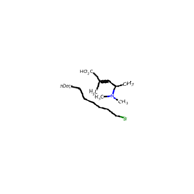 CC(=CC(C)N(C)C)C(=O)O.CCCCCCCCCCCCCCCCBr